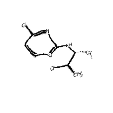 CC(Cl)[C@@H](C)Nc1nccc(Cl)n1